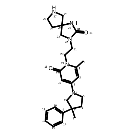 Cc1cc(N2CCC(C)(c3ccccc3)C2)cc(=O)n1CCN1CC2(CCNC2)NC1=O